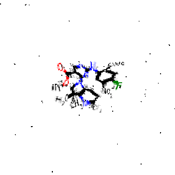 COc1cc(F)c([N+](=O)[O-])cc1Nc1ncc(C(=O)OC(C)C)c(N2CC(C)(C)c3nc(C(F)(F)F)ccc32)n1